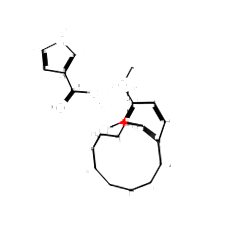 COc1ccc2c3c1OC(CCCCC2)C[C@@H](OC(=O)c1ccsc1)[C@@H]3C